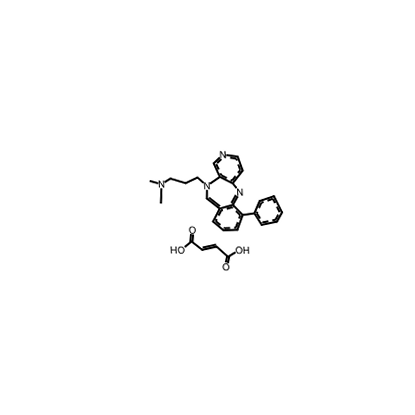 CN(C)CCCN1C=c2cccc(-c3ccccc3)c2=Nc2ccncc21.O=C(O)C=CC(=O)O